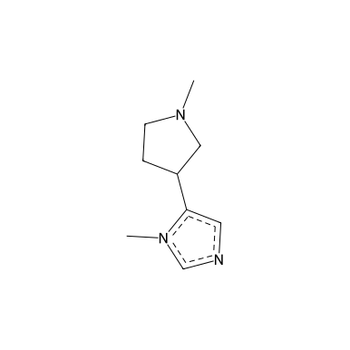 CN1CCC(c2cncn2C)C1